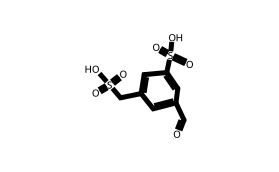 O=Cc1cc(CS(=O)(=O)O)cc(S(=O)(=O)O)c1